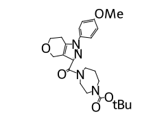 COc1ccc(-n2nc(C(=O)N3CCCN(C(=O)OC(C)(C)C)CC3)c3c2CCOC3)cc1